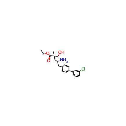 CCOC(=O)[C@](C)(CO)C[C@H](N)Cc1ccc(-c2cccc(Cl)c2)cc1